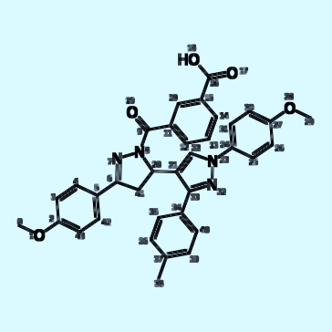 COc1ccc(C2=NN(C(=O)c3cccc(C(=O)O)c3)C(c3cn(-c4ccc(OC)cc4)nc3-c3ccc(C)cc3)C2)cc1